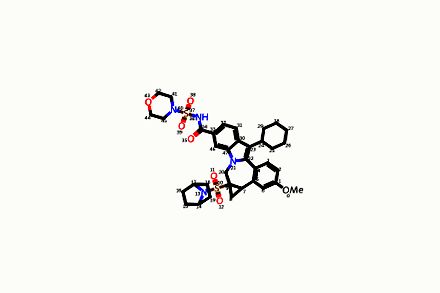 COc1ccc2c(c1)C1CC1(S(=O)(=O)N1C3CCC1CC3)Cn1c-2c(C2CCCCC2)c2ccc(C(=O)NS(=O)(=O)N3CCOCC3)cc21